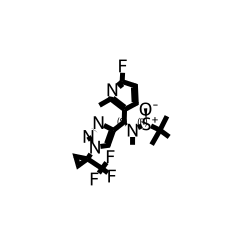 Cc1nc(F)ccc1[C@@H](c1cn(C2(C(F)(F)F)CC2)nn1)N(C)[S@@+]([O-])C(C)(C)C